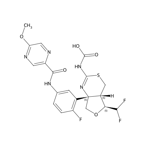 COc1cnc(C(=O)Nc2ccc(F)c([C@]34CO[C@H](C(F)F)[C@H]3CSC(NC(=O)O)=N4)c2)cn1